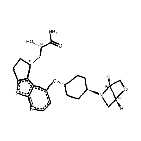 NC(=O)[C@@H](O)C[C@H]1CCc2sc3nccc(O[C@H]4CC[C@H](N5C[C@H]6OC[C@H]65)CC4)c3c21